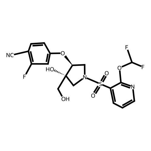 N#Cc1ccc(O[C@H]2CN(S(=O)(=O)c3cccnc3OC(F)F)C[C@@]2(O)CO)cc1F